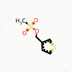 CS(=O)(=O)OCc1ccsc1